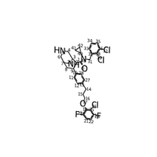 O=C(C1C2CNCC(CC1c1ccc(CCCOc3c(F)ccc(F)c3Cl)cc1)N2)N(Cc1cccc(Cl)c1Cl)C1CC1